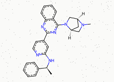 C[C@H](Nc1cc(-c2nc(N3C[C@@H]4C[C@H]3CN4C)c3ccccc3n2)ccn1)c1ccccc1